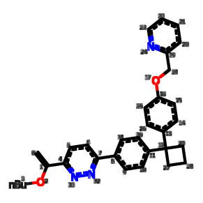 C=C(OCCCC)c1ccc(-c2ccc(C3(c4ccc(OCc5ccccn5)cc4)CCC3)cc2)nn1